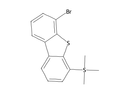 CS(C)(C)c1cccc2c1sc1c(Br)cccc12